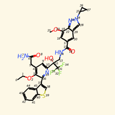 CCOc1c(CC(N)=O)cc([C@@](O)(CNC(=O)c2cc(OC)c3nn(C4CC4)cc3c2)C(F)(F)F)nc1-c1csc2ccccc12